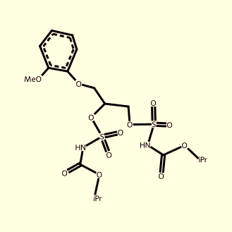 COc1ccccc1OCC(COS(=O)(=O)NC(=O)OC(C)C)OS(=O)(=O)NC(=O)OC(C)C